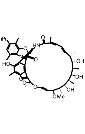 CO[C@H]1/C=C/O[C@@]2(C)Oc3c(C)c(O)c4c(=O)c(c5oc6c(C)c(C(C)C)cc(C)c6nc-5c4c3C2=O)NC(=O)/C(C)=C\C=C\[C@H](C)[C@H](O)[C@@H](C)[C@@H](O)[C@@H](C)[C@H](O)[C@@H]1C